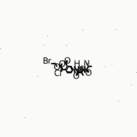 CC(N)C(=O)NC(C)C(=O)Nc1ccc2c(Cl)c(OCCBr)oc(=O)c2c1